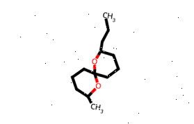 CCCC1CCCC2(CCCC(C)O2)O1